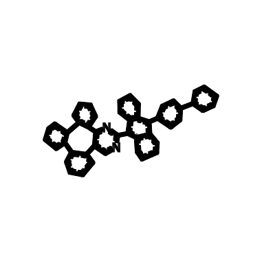 c1ccc(-c2ccc(-c3c4ccccc4c(-c4ncc5c(n4)-c4ccccc4-c4ccccc4-c4ccccc4-5)c4ccccc34)cc2)cc1